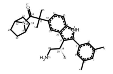 Cc1cc(C)cc(-c2[nH]c3ccc(C(C)(C)C(=O)N4C5CCC4CC5)cc3c2[C@H](C)CN)c1